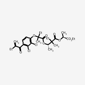 C=C(CC)C(=O)c1ccc(OC(C)(CC)C(=O)O[C@@H](C)C(C)(CC)C(=O)O[C@@H](C)C(=O)OCC)c(Cl)c1Cl